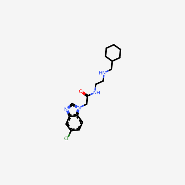 O=C(Cn1cnc2cc(Cl)ccc21)NCCNCC1CCCCC1